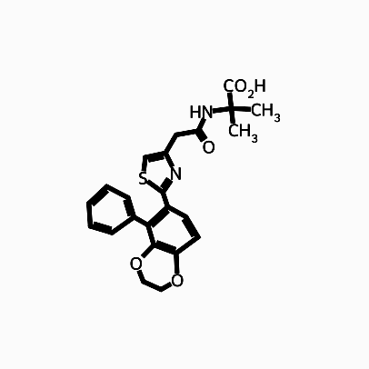 CC(C)(NC(=O)Cc1csc(-c2ccc3c(c2-c2ccccc2)OCCO3)n1)C(=O)O